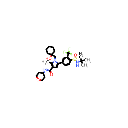 Cc1c(C(=O)NC2CCOCC2)cc(-c2ccc([S+]([O-])NC(C)(C)C)c(C(F)(F)F)c2)n1CC1(O)CCCCC1